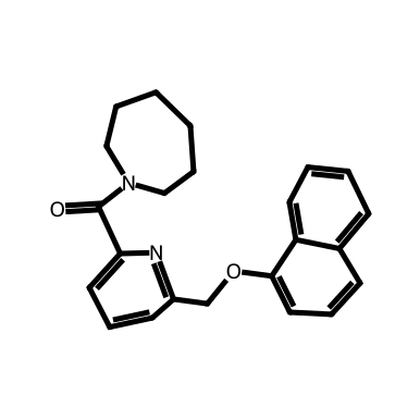 O=C(c1cccc(COc2cccc3ccccc23)n1)N1CCCCCC1